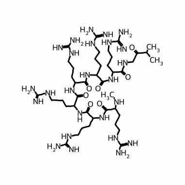 CNC(CCCNC(=N)N)C(=O)NC(CCCNC(=N)N)C(=O)NC(CCCNC(=N)N)C(=O)NC(CCCNC(=N)N)C(=O)NC(CCCNC(=N)N)C(=O)NC(CCCNC(=N)N)C(=O)NCC(=O)C(C)C